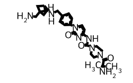 CC(C)(N)C(=O)N1CCN(C(=O)Nc2ccn(-c3ccc(CN[C@@H]4CC5(CN)CC4C5)cc3)c(=O)n2)CC1